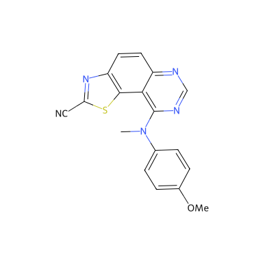 COc1ccc(N(C)c2ncnc3ccc4nc(C#N)sc4c23)cc1